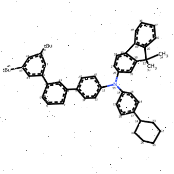 CC(C)(C)c1cc(-c2cccc(-c3ccc(N(c4ccc(C5CCCCC5)cc4)c4ccc5c(c4)C(C)(C)c4ccccc4-5)cc3)c2)cc(C(C)(C)C)c1